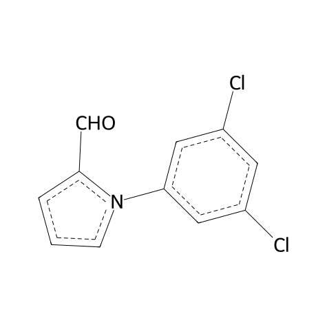 O=Cc1cccn1-c1cc(Cl)cc(Cl)c1